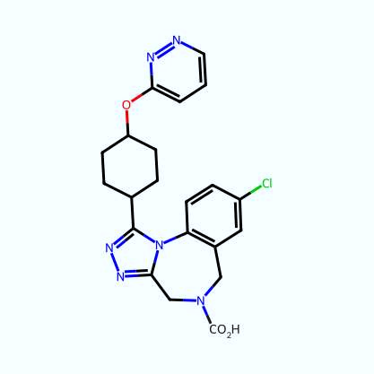 O=C(O)N1Cc2cc(Cl)ccc2-n2c(nnc2C2CCC(Oc3cccnn3)CC2)C1